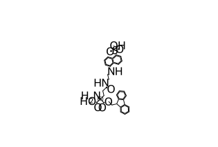 N[C@@](CCC(=O)NCCNc1cccc2c(S(=O)(=O)O)cccc12)(C(=O)O)C(=O)OCC1c2ccccc2-c2ccccc21